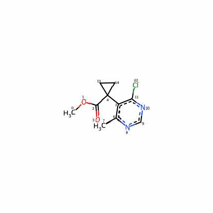 COC(=O)C1(c2c(C)ncnc2Cl)CC1